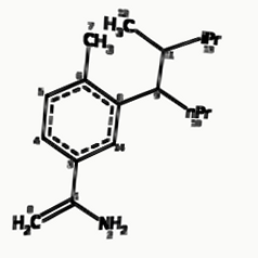 C=C(N)c1ccc(C)c(C(CCC)C(C)C(C)C)c1